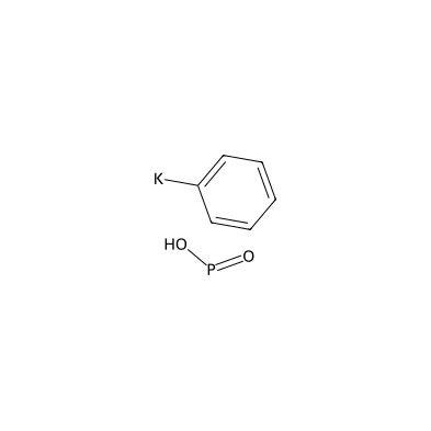 O=PO.[K][c]1ccccc1